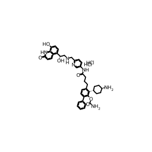 Cl.Cl.NC(=O)Oc1c(-c2ccccc2)ccc(CCCC(=O)Nc2ccc(CNC[C@H](O)c3ccc(O)c4[nH]c(=O)ccc34)nc2)c1[C@H]1CC[C@H](N)CC1